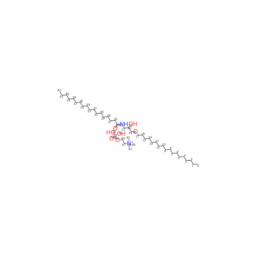 CCCCCCCCCCCCCCCCCCOCC(O)CNC(=O)CCCCCCCCCCCCCCCCC.C[N+](C)(C)CCOP(=O)(O)O